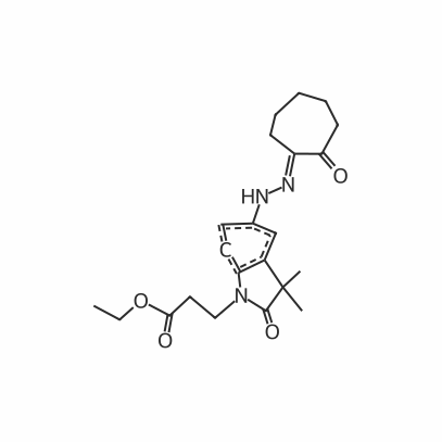 CCOC(=O)CCN1C(=O)C(C)(C)c2cc(N/N=C3\CCCCCC3=O)ccc21